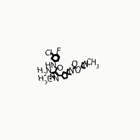 CN1CC(OC(=O)N2CC3(CCC(c4nn(C)c(N)c4C(=O)Nc4ccc(F)c(Cl)c4)C3)C2)C1